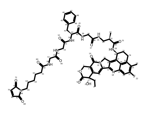 CC[C@@]1(O)C(=O)OCc2c1cc1n(c2=O)Cc2c-1nc1cc(F)c(C)c3c1c2[C@@H](NC(=O)[C@H](C)CNC(=O)CNC(=O)[C@H](Cc1ccccc1)NC(=O)CNC(=O)CNC(=O)CCCCCN1C(=O)C=CC1=O)CC3